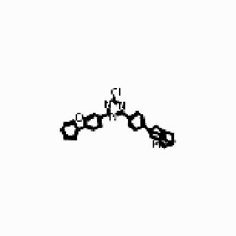 Clc1nc(-c2ccc(C34C[C@@H]5CC6CC5(C3)[C@@H]6C4)cc2)nc(-c2ccc3c(c2)oc2ccccc23)n1